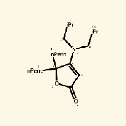 CCCCCC1(CCCCC)OC(=O)C=C1N(CC(C)C)CC(C)C